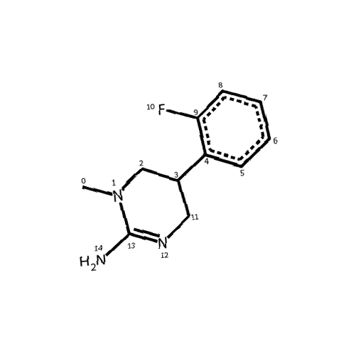 CN1CC(c2ccccc2F)CN=C1N